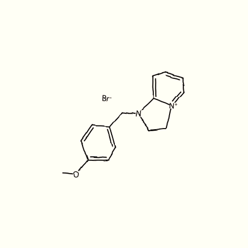 COc1ccc(CN2CC[n+]3ccccc32)cc1.[Br-]